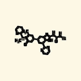 CCNC(=O)Nc1nc2cc(-c3cc(C)n([C@H](C)c4ccccn4)c(=O)c3)cc(-c3ncccn3)c2[nH]1